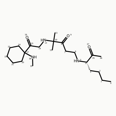 CCCC[C@H](NCCC(=O)C(C)(C)NCC(=O)C1(NC)CCCCC1)C(C)=O